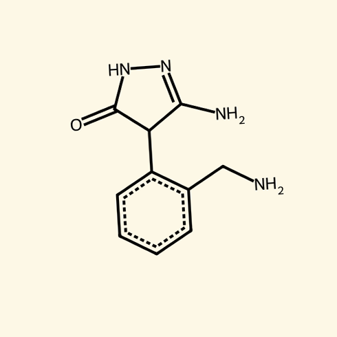 NCc1ccccc1C1C(=O)NN=C1N